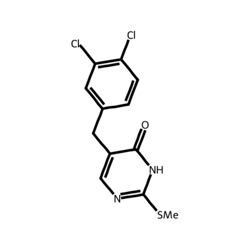 CSc1ncc(Cc2ccc(Cl)c(Cl)c2)c(=O)[nH]1